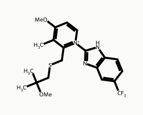 COc1cc[n+](-c2nc3cc(C(F)(F)F)ccc3[nH]2)c(CSCC(C)(C)OC)c1C